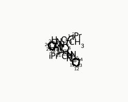 CC(C)CC(C)(C)C(CC(n1nc2ccccc2n1)C(C)(C)CC(C)C)n1nc2ccccc2n1